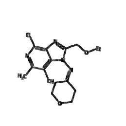 CCOCc1nc2c(Cl)nc(C)c(C)c2n1N=C1CCOCC1